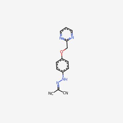 N#CC(C#N)=NNc1ccc(OCc2ncccn2)cc1